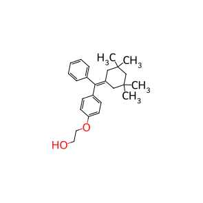 CC1(C)CC(=C(c2ccccc2)c2ccc(OCCO)cc2)CC(C)(C)C1